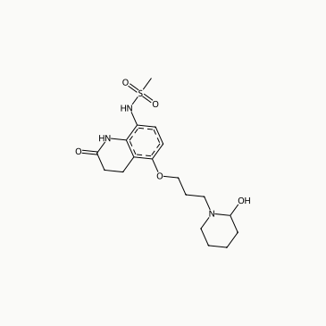 CS(=O)(=O)Nc1ccc(OCCCN2CCCCC2O)c2c1NC(=O)CC2